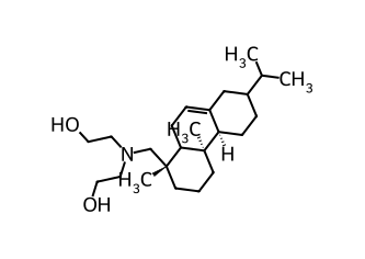 CC(C)C1CC[C@@H]2C(=CCC3[C@@](C)(CN(CCO)CCO)CCC[C@@]32C)C1